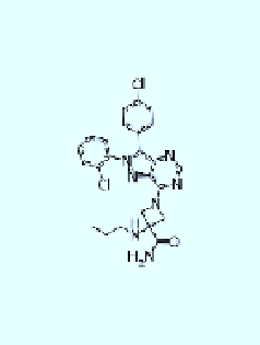 CCCNC1(C(N)=O)CN(c2ncnc3c(-c4ccc(Cl)cc4)n(-c4ccccc4Cl)nc23)C1